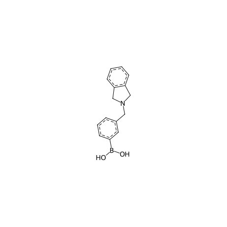 OB(O)c1cccc(CN2Cc3ccccc3C2)c1